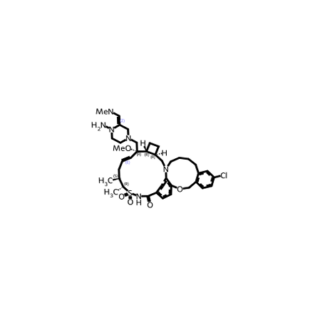 CN/C=C1/CN(C[C@]2(OC)/C=C/C[C@H](C)[C@@H](C)S(=O)(=O)NC(=O)c3ccc4c(c3)N(CCCCc3cc(Cl)ccc3CO4)C[C@@H]3CC[C@H]32)CCN1N